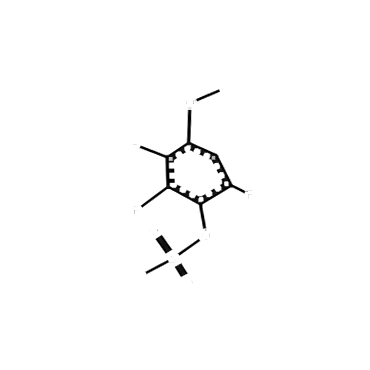 COc1cc(F)c(OS(C)(=O)=O)c(F)c1F